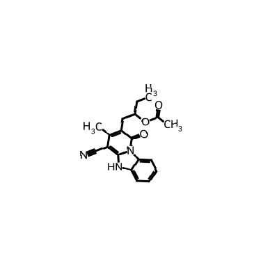 CCC(Cc1c(C)c(C#N)c2[nH]c3ccccc3n2c1=O)OC(C)=O